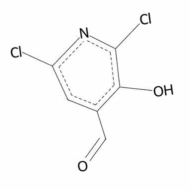 O=Cc1cc(Cl)nc(Cl)c1O